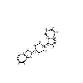 c1ccc2c(c1)CC(N1CCN(c3noc4ccccc34)CC1)C2